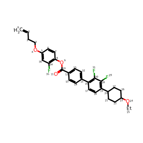 C=CCCOc1ccc(OC(=O)c2ccc(-c3ccc(C4CCC(OCC)CC4)c(F)c3F)cc2)c(F)c1